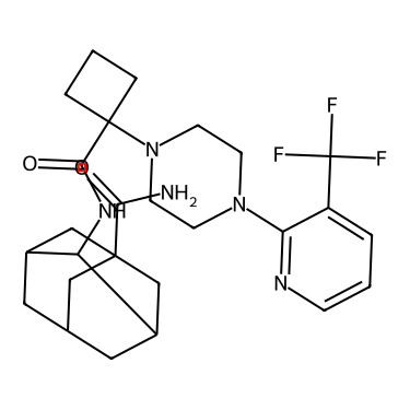 NC(=O)C12CC3CC(C1)C(NC(=O)C1(N4CCN(c5ncccc5C(F)(F)F)CC4)CCC1)C(C3)C2